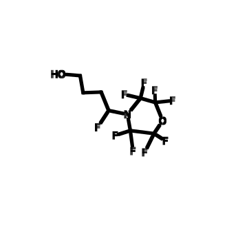 OCCCC(F)N1C(F)(F)C(F)(F)OC(F)(F)C1(F)F